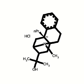 CCC[C@]12CC3C(C(C)(C)O)CC1C(Cc1ccccc12)N3C.Cl